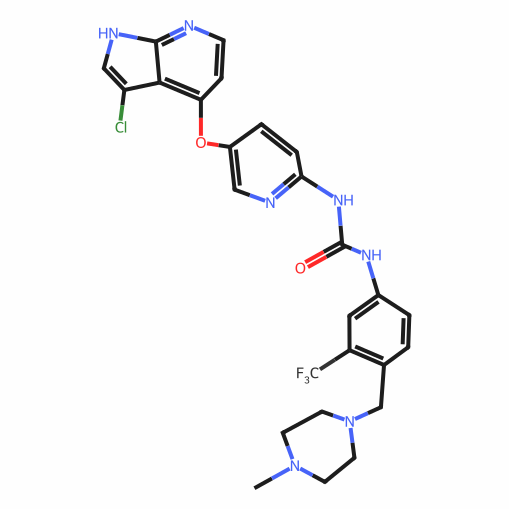 CN1CCN(Cc2ccc(NC(=O)Nc3ccc(Oc4ccnc5[nH]cc(Cl)c45)cn3)cc2C(F)(F)F)CC1